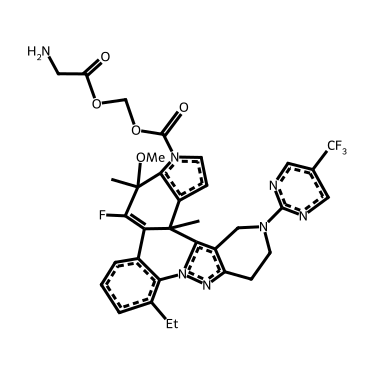 CCc1cccc2c1-n1nc3c(c1C1(C)C2=C(F)C(C)(OC)c2c1ccn2C(=O)OCOC(=O)CN)CN(c1ncc(C(F)(F)F)cn1)CC3